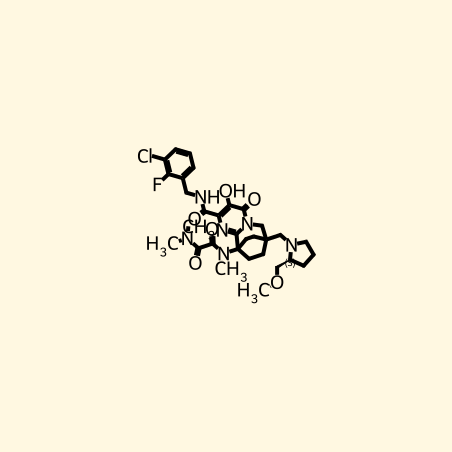 COC[C@@H]1CCCN1CC12CCC(N(C)C(=O)C(=O)N(C)C)(CC1)c1nc(C(=O)NCc3cccc(Cl)c3F)c(O)c(=O)n1C2